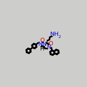 NCCCC[C@H]1C(=O)N(Cc2cccc3ccccc23)CC[C@H]2CN(Cc3ccc(-c4ccccc4)cc3)C(=O)N21